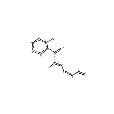 C=C/C=C\C=C(/C)C(=O)c1ccccc1C